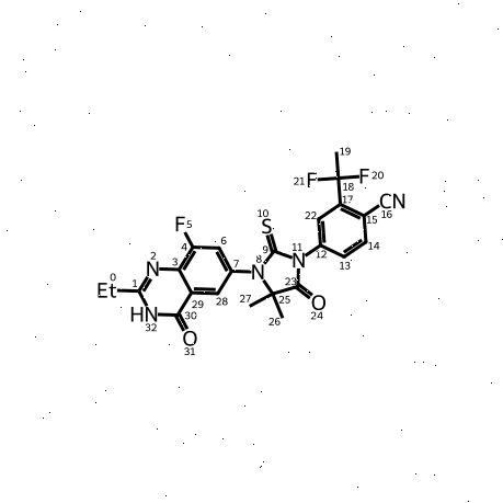 CCc1nc2c(F)cc(N3C(=S)N(c4ccc(C#N)c(C(C)(F)F)c4)C(=O)C3(C)C)cc2c(=O)[nH]1